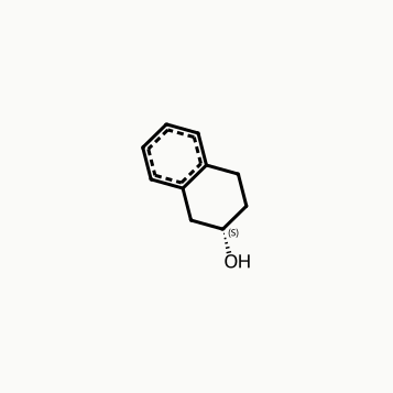 O[C@H]1CCc2ccccc2C1